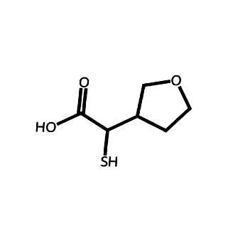 O=C(O)C(S)C1CCOC1